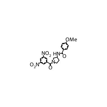 COc1ccc(C(=O)NC2CCN(C(=O)c3cc([N+](=O)[O-])cc([N+](=O)[O-])c3)C2)cc1